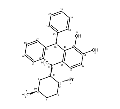 CC(C)[C@@H]1CC[C@@H](C)C[C@H]1P(C)c1ccc(O)c(O)c1P(c1ccccc1)c1ccccc1